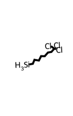 [SiH3]CCCCCCCC(Cl)(Cl)Cl